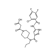 CCCN(C(=O)c1cc(NC(=O)c2cc(F)c(F)cc2Cl)[nH]n1)C1CCN(C(=O)CC(=O)O)CC1